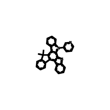 CC1(C)c2ccccc2-c2c1c1c3ccccc3n(-c3cccnc3)c1c1sc3ccccc3c21